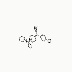 N#CC(=C1CCN(C(=O)N2CCCCC2)CC1)c1ccc(Cl)cc1